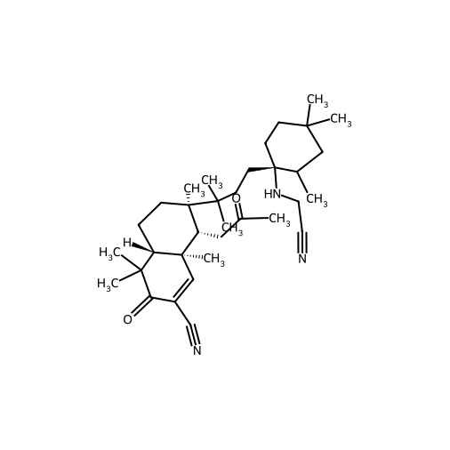 CC(=O)C[C@@H]1[C@@]2(C)C=C(C#N)C(=O)C(C)(C)[C@@H]2CC[C@@]1(C)C(C)(C)CC[C@@]1(NCC#N)CCC(C)(C)CC1C